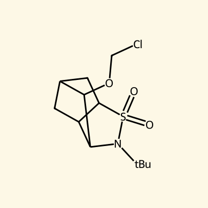 CC(C)(C)N1C2C3CC(CC3S1(=O)=O)C2OCCl